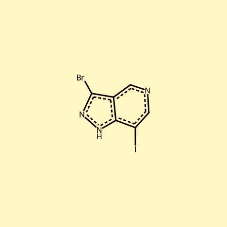 Brc1n[nH]c2c(I)cncc12